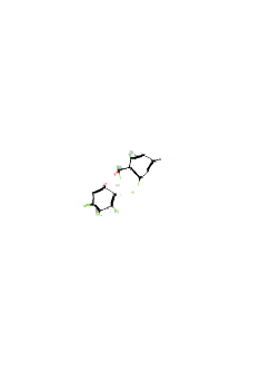 CCCCc1cc(F)c(C(F)(F)Oc2cc(F)c(F)c(F)c2)c(F)c1